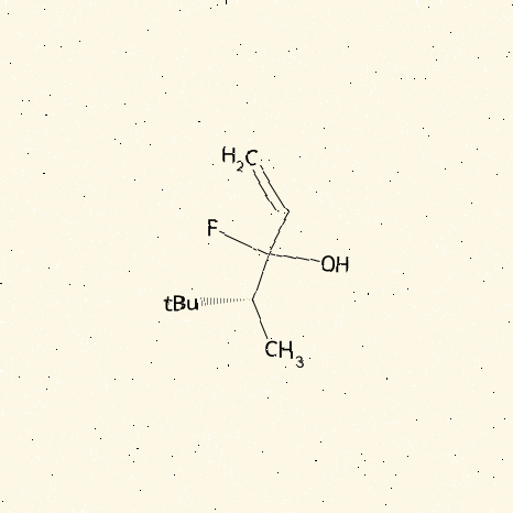 C=CC(O)(F)[C@H](C)C(C)(C)C